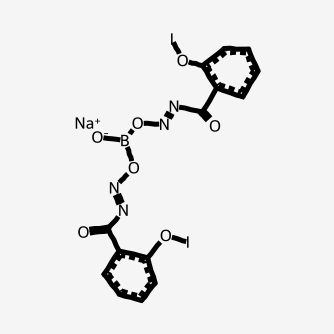 O=C(N=NOB([O-])ON=NC(=O)c1ccccc1OI)c1ccccc1OI.[Na+]